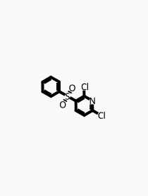 O=S(=O)(c1ccccc1)c1ccc(Cl)nc1Cl